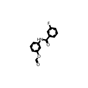 O=COc1cccc(NC(=O)c2cccc(F)c2)c1